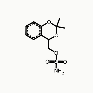 CC1(C)Oc2ccccc2C(COS(N)(=O)=O)O1